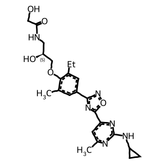 CCc1cc(-c2noc(-c3cc(C)nc(NC4CC4)n3)n2)cc(C)c1OC[C@@H](O)CNC(=O)CO